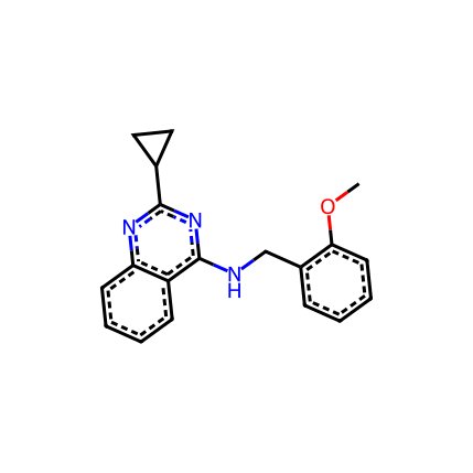 COc1ccccc1CNc1nc(C2CC2)nc2ccccc12